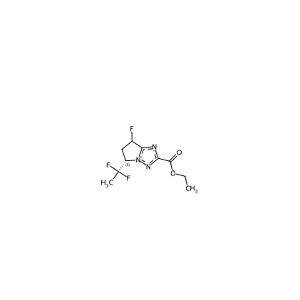 CCOC(=O)c1nc2n(n1)[C@H](C(C)(F)F)CC2F